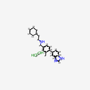 Cc1cc(CNCCC2CCCCC2)ccc1-c1ccc2[nH]cnc2c1.Cl.Cl